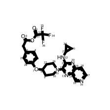 O=C(Cc1ccc(OC2CCN(c3nc4cnccc4nc3NC3CC3)CC2)cc1)OC(=O)C(F)(F)F